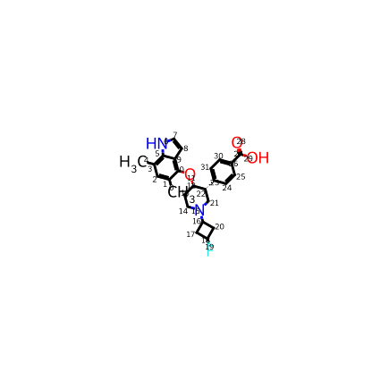 Cc1cc(C)c2[nH]ccc2c1O[C@@H]1CCN(C2CC(F)C2)C[C@H]1c1ccc(C(=O)O)cc1